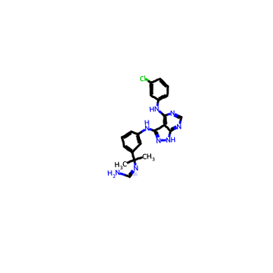 CC(C)(/N=C\N)c1cccc(Nc2n[nH]c3ncnc(Nc4cccc(Cl)c4)c23)c1